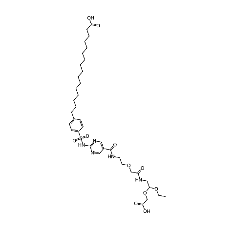 CCOC(CNC(=O)COCCNC(=O)c1cnc(NS(=O)(=O)c2ccc(CCCCCCCCCCCCCCCC(=O)O)cc2)nc1)OCC(=O)O